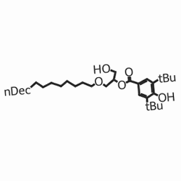 CCCCCCCCCCCCCCCCCCOCC(CO)OC(=O)c1cc(C(C)(C)C)c(O)c(C(C)(C)C)c1